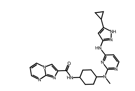 CN(c1nccc(Nc2cc(C3CC3)[nH]n2)n1)C1CCC(NC(=O)c2cn3cccnc3n2)CC1